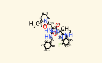 CC[C@H]1CCCCN1C(=O)C[C@H](NC(=O)NCc1ccccc1)C(=O)N[C@@H](C)c1nc2c(F)cccc2[nH]1